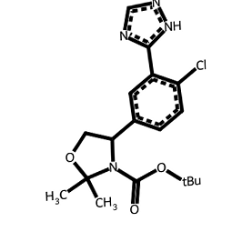 CC(C)(C)OC(=O)N1C(c2ccc(Cl)c(-c3ncn[nH]3)c2)COC1(C)C